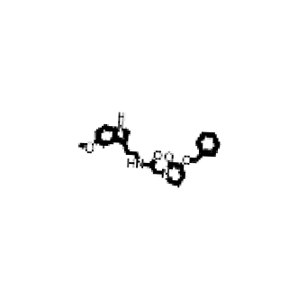 COc1ccc2[nH]cc(CCNC(=O)Cn3cccc(OCc4ccccc4)c3=O)c2c1